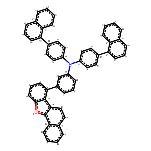 c1cc(-c2cccc3oc4c5ccccc5ccc4c23)cc(N(c2ccc(-c3cccc4ccccc34)cc2)c2ccc(-c3cccc4ccccc34)cc2)c1